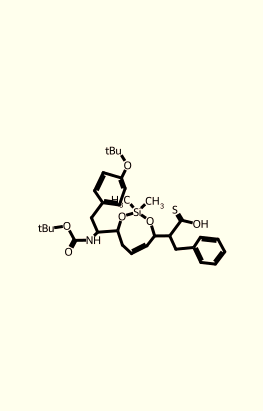 CC(C)(C)OC(=O)NC(Cc1ccc(OC(C)(C)C)cc1)C1CC=CC(C(Cc2ccccc2)C(O)=S)O[Si](C)(C)O1